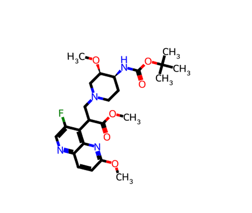 COC(=O)C(CN1CC[C@H](NC(=O)OC(C)(C)C)[C@H](OC)C1)c1c(F)cnc2ccc(OC)nc12